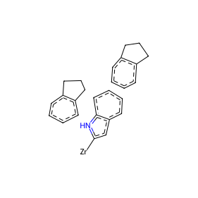 [Zr][c]1cc2ccccc2[nH]1.c1ccc2c(c1)CCC2.c1ccc2c(c1)CCC2